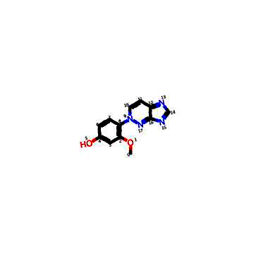 COc1cc(O)ccc1-n1ccc2ncnc-2n1